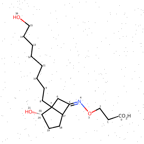 O=C(O)CCON=C1CC2(CCCCCCCCO)C1CC[C@@H]2O